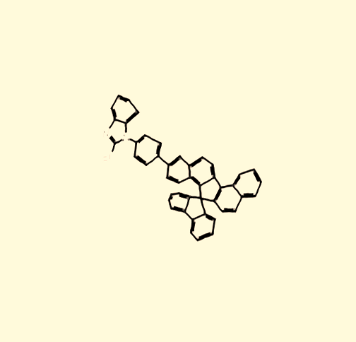 CCc1nc2ccccc2n1-c1ccc(-c2ccc3c4c(ccc3c2)-c2c(ccc3ccccc23)C42c3ccccc3-c3ccccc32)cc1